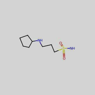 [NH]S(=O)(=O)CCCNC1CCCC1